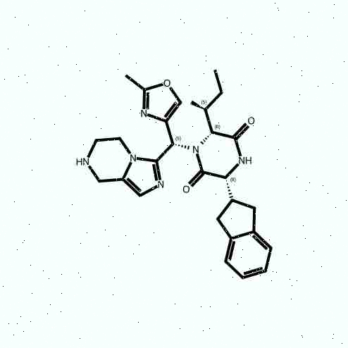 CC[C@H](C)[C@@H]1C(=O)N[C@H](C2Cc3ccccc3C2)C(=O)N1[C@@H](c1coc(C)n1)c1ncc2n1CCNC2